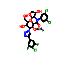 CO[C@@H]1[C@@H](n2cc(-c3cc(F)c(Cl)c(F)c3)nn2)[C@@H](O)[C@@H](CO)O[C@H]1C(=O)N(c1cc(Cl)cc(Cl)c1)[C@H]1COC[C@@H]1O